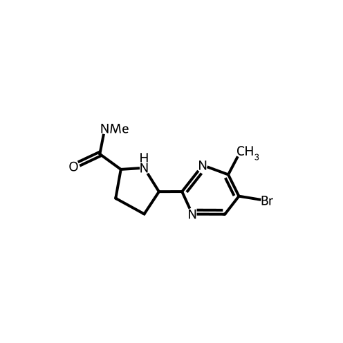 CNC(=O)C1CCC(c2ncc(Br)c(C)n2)N1